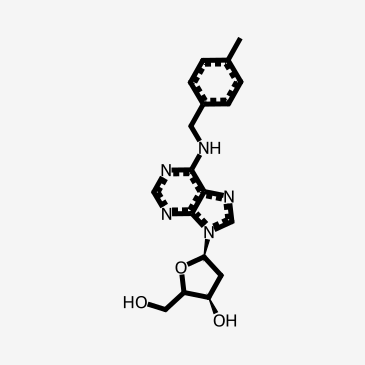 Cc1ccc(CNc2ncnc3c2ncn3[C@H]2C[C@@H](O)C(CO)O2)cc1